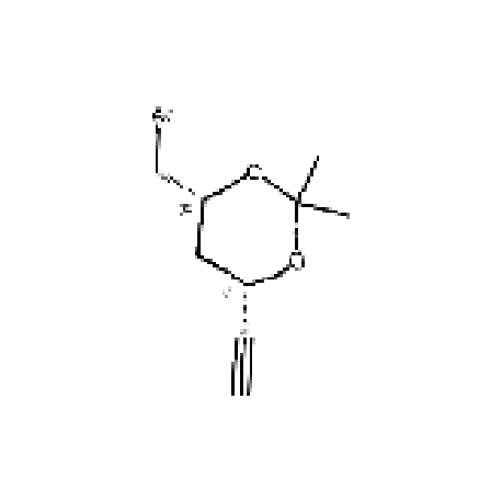 C#C[C@@H]1C[C@H](CC(C)=O)OC(C)(C)O1